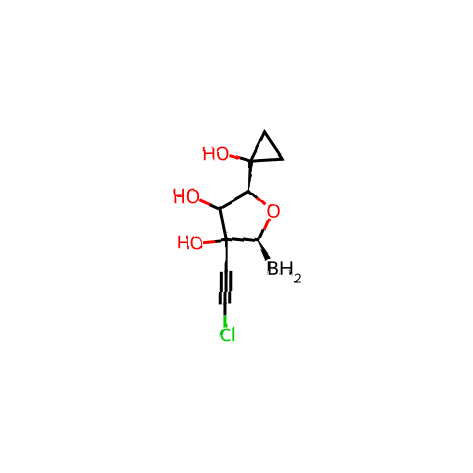 B[C@@H]1O[C@H](C2(O)CC2)C(O)C1(O)C#CCl